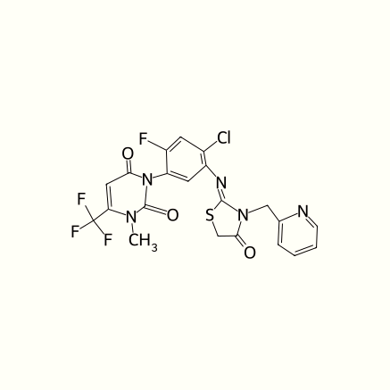 Cn1c(C(F)(F)F)cc(=O)n(-c2cc(N=C3SCC(=O)N3Cc3ccccn3)c(Cl)cc2F)c1=O